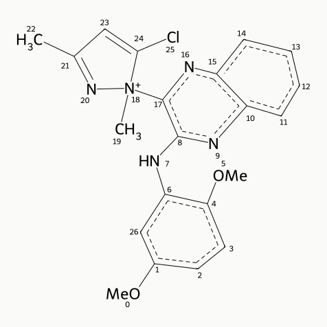 COc1ccc(OC)c(Nc2nc3ccccc3nc2[N+]2(C)N=C(C)C=C2Cl)c1